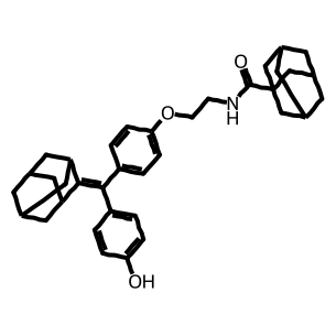 O=C(NCCOc1ccc(C(=C2C3CC4CC(C3)CC2C4)c2ccc(O)cc2)cc1)C12CC3CC(CC(C3)C1)C2